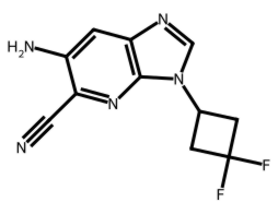 N#Cc1nc2c(cc1N)ncn2C1CC(F)(F)C1